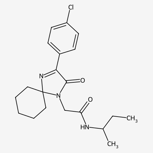 CCC(C)NC(=O)CN1C(=O)C(c2ccc(Cl)cc2)=NC12CCCCC2